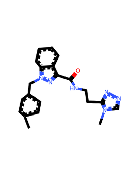 Cc1ccc(Cn2nc(C(=O)NCCc3nncn3C)c3ccccc32)cc1